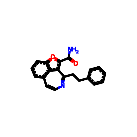 NC(=O)c1oc2cccc3c2c1C(CCc1ccccc1)=NC=C3